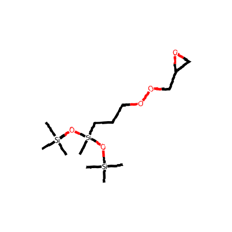 C[Si](C)(C)O[Si](C)(CCCOOCC1CO1)O[Si](C)(C)C